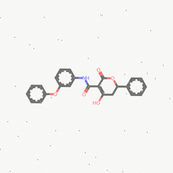 O=C(Nc1cccc(Oc2ccccc2)c1)C1=C(O)CC(c2ccccc2)OC1=O